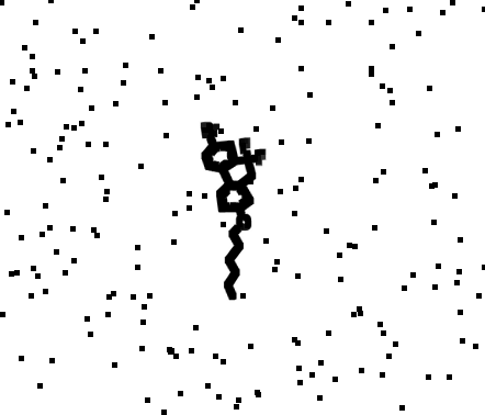 CCCCCCOc1ccc2c(c1)CC(F)(F)c1cc(Br)ccc1-2